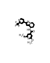 COc1cc(C(=O)N[C@H]2CCCn3nc(-c4ccnc(C(F)(F)F)c4)cc32)cc(OC)n1